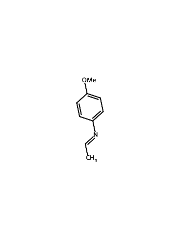 C/C=N/c1ccc(OC)cc1